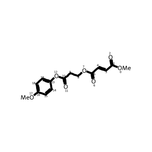 COC(=O)C=CC(=O)OCCC(=O)Oc1ccc(OC)cc1